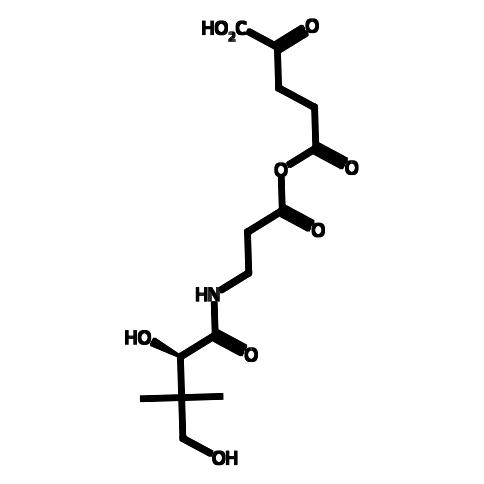 CC(C)(CO)[C@@H](O)C(=O)NCCC(=O)OC(=O)CCC(=O)C(=O)O